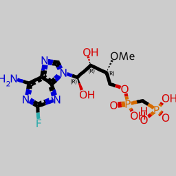 CO[C@H](COP(=O)(O)CP(=O)(O)O)[C@@H](O)[C@@H](O)n1cnc2c(N)nc(F)nc21